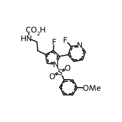 COc1cccc(S(=O)(=O)n2cc(CCNC(=O)O)c(F)c2-c2cccnc2F)c1